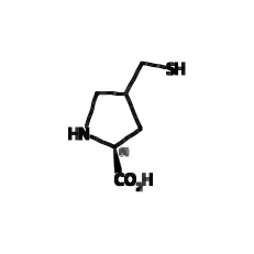 O=C(O)[C@@H]1CC(CS)CN1